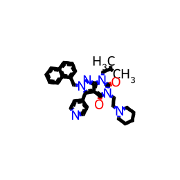 CC(C)Cn1c(=O)n(CCN2CCCCC2)c(=O)c2c(-c3ccncc3)n(Cc3cccc4ccccc34)nc21